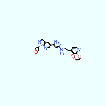 c1nc(NCCc2ccnc3c2OCCO3)cc(-c2cnc3c(cnn3C3COC3)c2)n1